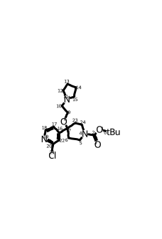 CC(C)(C)OC(=O)N1CCC(OCCN2CCCC2)(c2ccnc(Cl)c2)CC1